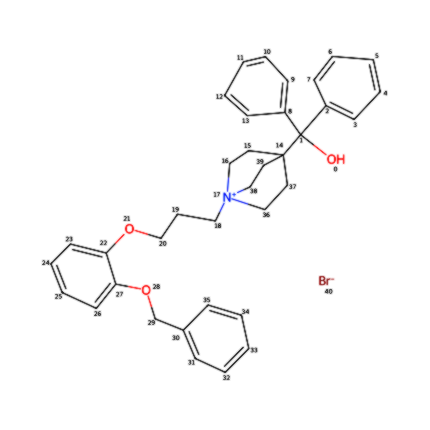 OC(c1ccccc1)(c1ccccc1)C12CC[N+](CCCOc3ccccc3OCc3ccccc3)(CC1)CC2.[Br-]